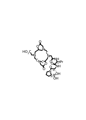 CC(C)[C@H](NC(=O)CN1CCN2CC(=O)OC(CN(CC(=O)O)CCN3CC(=O)OC(C1)C3)C2)C(=O)N[C@H](C)C(=O)N1CCC[C@H]1B(O)O